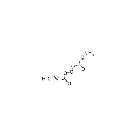 C/C=C/C(=O)OOOC(=O)/C=C/C